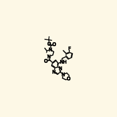 Cc1c(F)cccc1CNc1cc(C(=O)N(C)CCN(C(=O)OC(C)(C)C)C(C)C)cc2ncc(N3CCOCC3)nc12